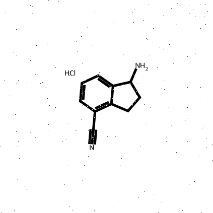 Cl.N#Cc1cccc2c1CCC2N